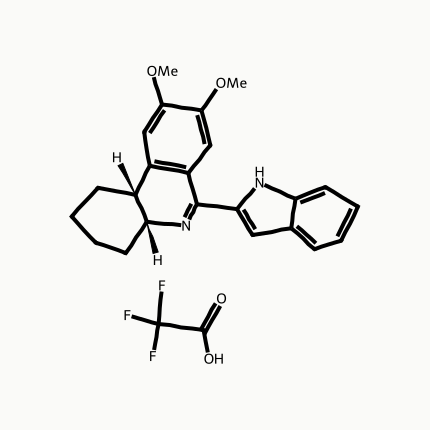 COc1cc2c(cc1OC)[C@H]1CCCC[C@H]1N=C2c1cc2ccccc2[nH]1.O=C(O)C(F)(F)F